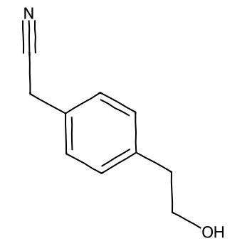 N#CCc1ccc(CCO)cc1